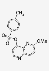 COc1ccc2nccc(OS(=O)(=O)c3ccc(C)cc3)c2n1